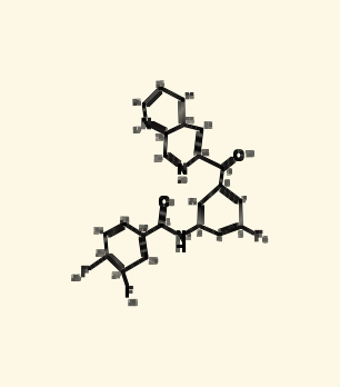 O=C(Nc1cc(F)cc(C(=O)c2cc3cccnc3cn2)c1)c1ccc(F)c(F)c1